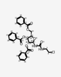 O=C(NCCCl)N[C@@H]1O[C@H](COC(=O)c2ccccc2)[C@@H](OC(=O)c2ccccc2)[C@H]1OC(=O)c1ccccc1